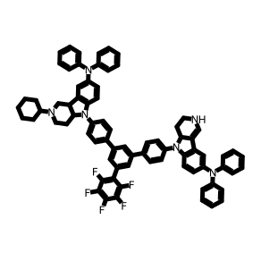 Fc1c(F)c(F)c(-c2cc(-c3ccc(N4c5ccc(N(c6ccccc6)c6ccccc6)cc5C5=CNCCC54)cc3)cc(-c3ccc(N4c5ccc(N(c6ccccc6)c6ccccc6)cc5C5CN(C6CCCCC6)CCC54)cc3)c2)c(F)c1F